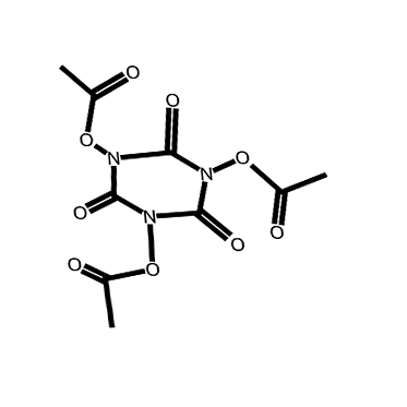 CC(=O)On1c(=O)n(OC(C)=O)c(=O)n(OC(C)=O)c1=O